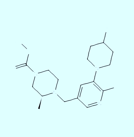 C[C@H]1CN(C(=O)OC(C)(C)C)CCN1Cc1cnc(C(F)(F)F)c(N2CCC(F)CC2)c1